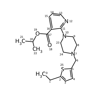 CCc1ccc(CN2CCN(c3ncccc3C(=O)OC(C)C)CC2)s1